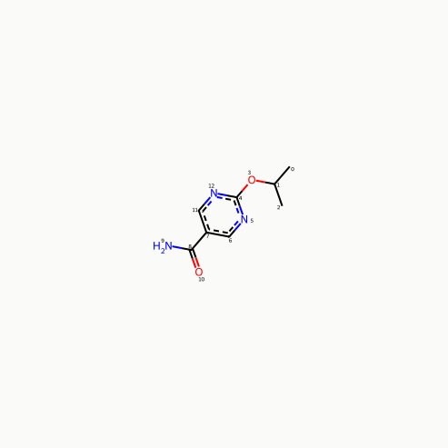 CC(C)Oc1ncc(C(N)=O)cn1